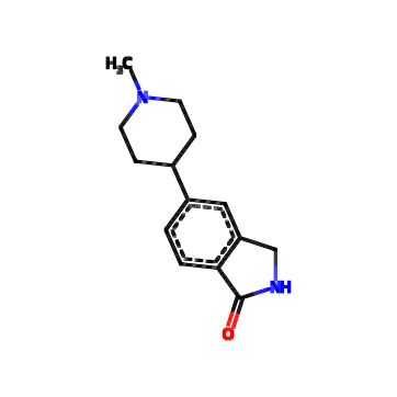 CN1CCC(c2ccc3c(c2)CNC3=O)CC1